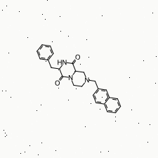 O=C1NC(Cc2ccccc2)C(=O)N2CCN(Cc3ccc4ccccc4c3)CC12